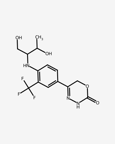 CC(O)C(CO)Nc1ccc(C2=NNC(=O)OC2)cc1C(F)(F)F